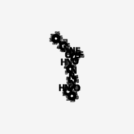 O=C(Nc1ccc(N2CCN(C(=O)C3NCCc4ccccc43)CC2)nc1)c1oc(N2CCC(c3ccccc3)CC2)nc1C(F)(F)F